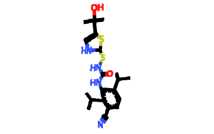 CC(C)c1ccc(C#N)c(C(C)C)c1NC(=O)NSC1NC=C(C(C)(C)O)S1